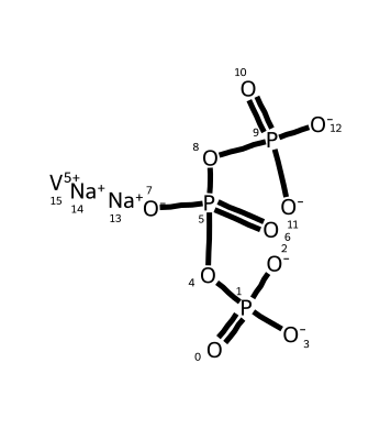 O=P([O-])([O-])OP(=O)([O-])OP(=O)([O-])[O-].[Na+].[Na+].[V+5]